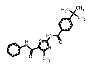 Cc1nc(NC(=O)c2ccc(C(C)(C)C)cc2)sc1C(=O)Nc1ccccc1